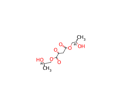 C[C@@H](O)COC(=O)CC(=O)C(=O)OC[C@@H](C)O